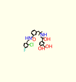 CC(C)(Cc1cccc(C(=O)NCCc2ccc(F)cc2Cl)c1)NC[C@H](O)c1ccc(O)c(CO)c1